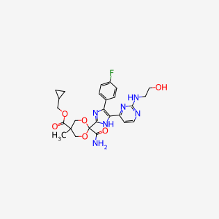 CC1(C(=O)OCC2CC2)COC(C(N)=O)(c2nc(-c3ccc(F)cc3)c(-c3ccnc(NCCO)n3)[nH]2)OC1